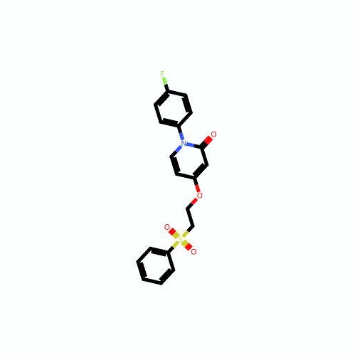 O=c1cc(OCCS(=O)(=O)c2ccccc2)ccn1-c1ccc(F)cc1